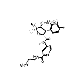 CNCCNC(=O)c1cc(NC(=O)[C@@H]2O[C@@](C)(C(F)(F)F)[C@@H](C)[C@H]2c2ccc(F)c(F)c2OC)ccn1